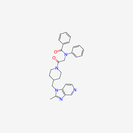 Cc1nc2cnccc2n1CC1CCN(C(=O)CN(C(=O)c2ccccc2)c2ccccc2)CC1